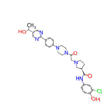 CC(O)c1cnc(-c2ccc(N3CCN(C(=O)CN4CC[C@@H](C(=O)Nc5ccc(O)c(Cl)c5)C4)CC3)cc2)nc1